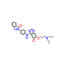 CCCN(CCC)CCCOc1cc2ncnc(Nc3ccc(NC(=O)c4ccccc4)cc3)c2cc1OC